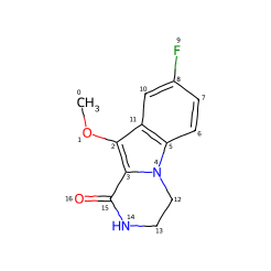 COc1c2n(c3ccc(F)cc13)CCNC2=O